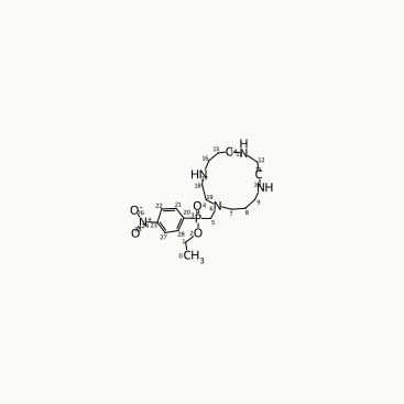 CCOP(=O)(CN1CCCNCCNCCCNCC1)c1ccc([N+](=O)[O-])cc1